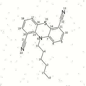 CCCCCCN1c2cccc(C#N)c2Sc2cccc(C#N)c21